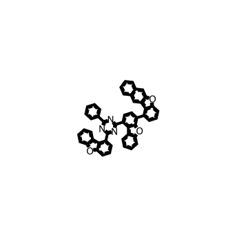 c1ccc(-c2nc(-c3cccc4oc5ccccc5c34)nc(-c3ccc(-c4cccc5oc6cc7ccccc7cc6c45)c4oc5ccccc5c34)n2)cc1